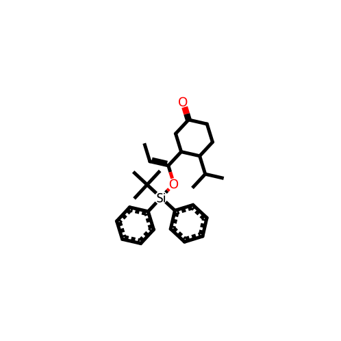 CC=C(O[Si](c1ccccc1)(c1ccccc1)C(C)(C)C)C1CC(=O)CCC1C(C)C